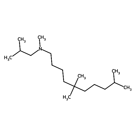 CC(C)CCCC(C)(C)CCCCN(C)CC(C)C